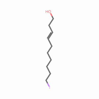 OCC/C=C/CCCCCCI